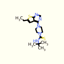 CCc1cc2c(N3CCN(C(=S)NC(C)(C)C)CC3)ncnc2s1